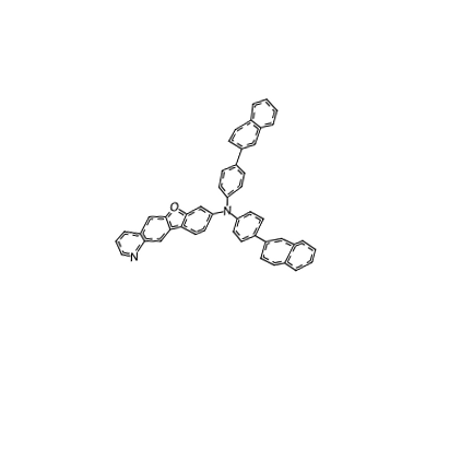 c1ccc2cc(-c3ccc(N(c4ccc(-c5ccc6ccccc6c5)cc4)c4ccc5c(c4)oc4cc6cccnc6cc45)cc3)ccc2c1